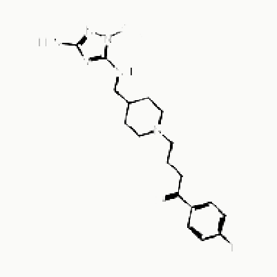 Cn1nc(N)nc1NCC1CCN(CCCC(=O)c2ccc(F)cc2)CC1